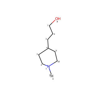 [2H]N1CCC(CCCO)CC1